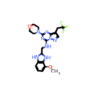 COc1cccc2c1NC(CNc1nc(N3CCOCC3)nc3c(CC(F)(F)F)cnn13)N2